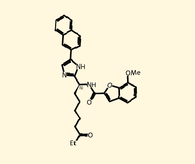 CCC(=O)CCCCC[C@H](NC(=O)c1cc2cccc(OC)c2o1)c1ncc(-c2ccc3ccccc3c2)[nH]1